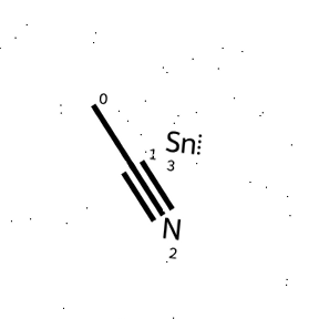 CC#N.[Sn]